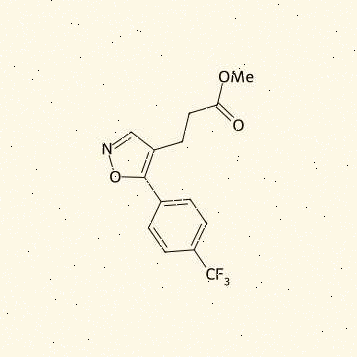 COC(=O)CCc1cnoc1-c1ccc(C(F)(F)F)cc1